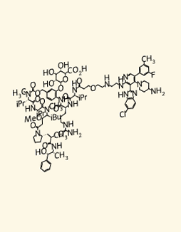 CC[C@H](C)[C@@H]([C@@H](CC(=O)N1CCC[C@H]1C[C@@H](C)C(=O)N[C@H](C)[C@@H](O)c1ccccc1)OC)N(C)C(=O)[C@@H](NC(=O)[C@H](C(C)C)N(C)C(=O)OCc1ccc(NC(=O)[C@H](CCCNC(N)=O)NC(=O)[C@@H](NC(=O)CCOCCNCCNc2ncc(-c3cc(C)cc(F)c3)c(N3CCC(N)CC3)c2-c2nc3ccc(Cl)cc3[nH]2)C(C)C)c(O[C@@H]2O[C@H](C(=O)O)[C@@H](O)[C@H](O)[C@H]2O)c1)C(C)C